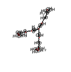 CC(CCCCOC(=O)NCCCCCCNC(=O)CCCOC1OC(CO)C(O)C(O)C1N)(CCCOC(=O)NCCCCCCNC(=O)CCCOC1OC(CO)C(O)C(O)C1N)CCOC(=O)NCCCCCCNC(=O)CCCOC1OC(CO)C(O)C(O)C1N